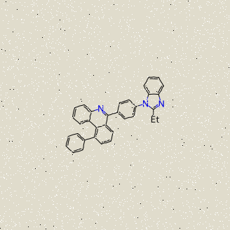 CCc1nc2ccccc2n1-c1ccc(-c2nc3ccccc3c3c(-c4ccccc4)cccc23)cc1